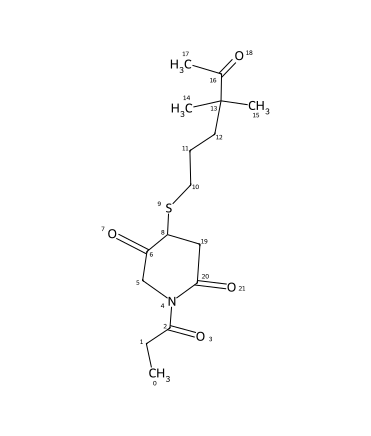 CCC(=O)N1CC(=O)C(SCCCC(C)(C)C(C)=O)CC1=O